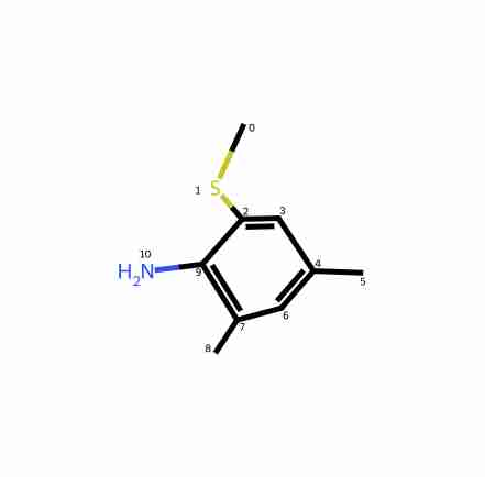 CSc1cc(C)cc(C)c1N